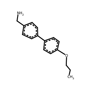 CCCOc1ccc(-c2ccc(CN)cc2)cc1